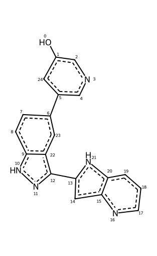 Oc1cncc(-c2ccc3[nH]nc(-c4cc5ncccc5[nH]4)c3c2)c1